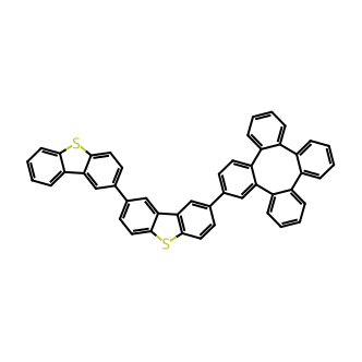 c1ccc2c(c1)-c1ccccc1-c1ccc(-c3ccc4sc5ccc(-c6ccc7sc8ccccc8c7c6)cc5c4c3)cc1-c1ccccc1-2